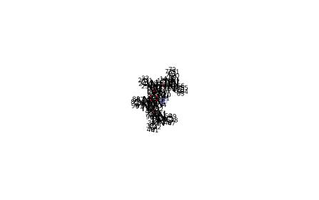 C=C/C(=C(\C)n1c2cc(-c3nc(-c4ccccc4)nc(-c4ccccc4)n3)ccc2c2ccc(-c3nc(-c4ccccc4)nc(-c4ccccc4)n3)cc21)n1c2cc(-c3nc(-c4ccccc4)nc(-c4ccccc4)n3)ccc2c2ccc(-c3nc(-c4ccccc4)nc(-c4ccccc4)n3)cc21